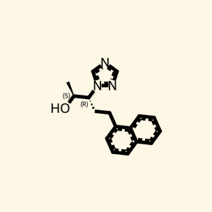 C[C@H](O)[C@@H](CCc1cccc2ccccc12)n1cncn1